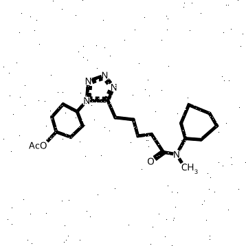 CC(=O)OC1CCC(n2nnnc2CCCCC(=O)N(C)C2CCCCC2)CC1